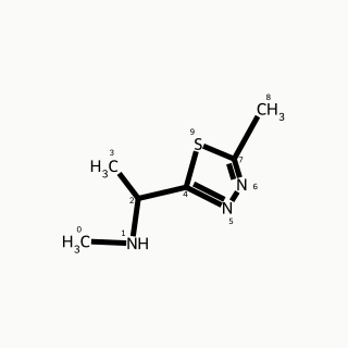 CNC(C)c1nnc(C)s1